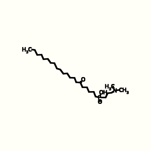 CCCCCCCCCCCCCCCC(=O)CCCCCP(=O)(O)CCCN(C)C